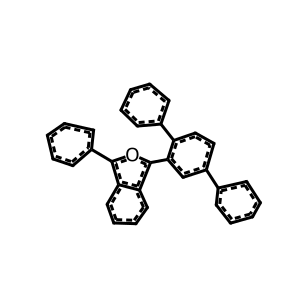 c1ccc(-c2ccc(-c3ccccc3)c(-c3oc(-c4ccccc4)c4ccccc34)c2)cc1